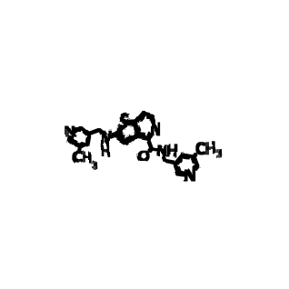 Cc1cncc(CNC(=O)c2nccc3sc(NCc4cncc(C)c4)cc23)c1